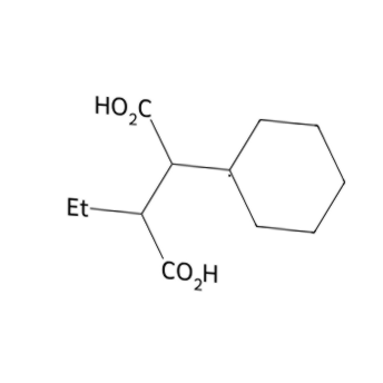 CCC(C(=O)O)C([C]1CCCCC1)C(=O)O